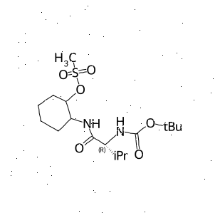 CC(C)[C@@H](NC(=O)OC(C)(C)C)C(=O)NC1CCCCC1OS(C)(=O)=O